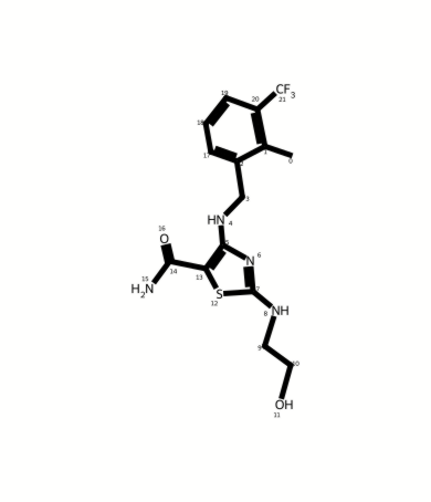 Cc1c(CNc2nc(NCCO)sc2C(N)=O)cccc1C(F)(F)F